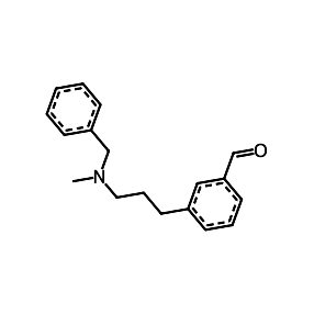 CN(CCCc1cccc(C=O)c1)Cc1ccccc1